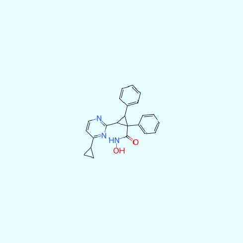 O=C(NO)C1(c2ccccc2)C(c2ccccc2)C1c1nccc(C2CC2)n1